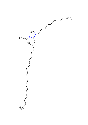 CCCCCCCCCCCCCCCCCCC1N(CCCCCCCCC)C=CN1C(C)C